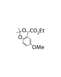 CCOC(=O)C1OC(C)(C)Oc2ccc(OC)cc21